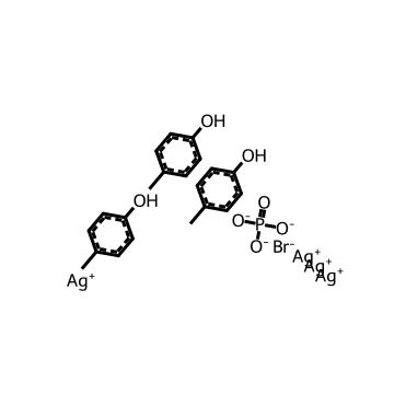 Cc1ccc(O)cc1.Cc1ccc(O)cc1.Cc1ccc(O)cc1.O=P([O-])([O-])[O-].[Ag+].[Ag+].[Ag+].[Ag+].[Br-]